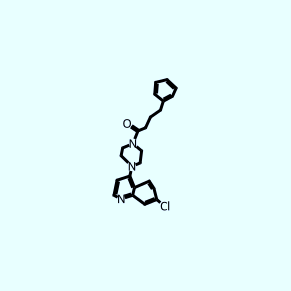 O=C(CCCc1ccccc1)N1CCN(c2ccnc3cc(Cl)ccc23)CC1